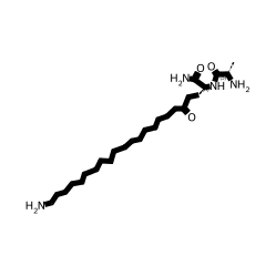 C[C@H](N)C(=O)N[C@H](CCC(=O)CCCCCCCCCCCCCCCCCCN)C(N)=O